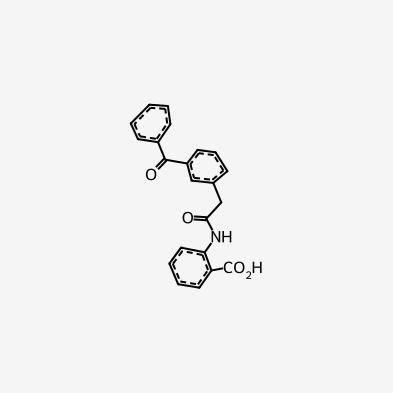 O=C(Cc1cccc(C(=O)c2ccccc2)c1)Nc1ccccc1C(=O)O